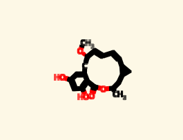 CO[C@H]1/C=C/C=C\C2CC2CC(C)OC(=O)c2c(O)cc(O)cc2C1